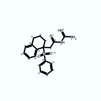 N=C(N)NC(=O)CC1(S(=O)(=O)c2ccccc2)CCCc2ccccc21